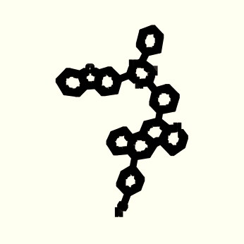 N#Cc1ccc(-c2cc3c4cccnc4c(-c4cccc(-c5nc(-c6ccccc6)nc(-c6ccc7c(c6)oc6ccccc67)n5)c4)cc3c3ccccc23)cc1